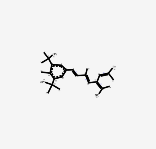 CCCC(C)(C)c1cc(/C=C/C(C)=C/C(/C=C(\C)CC)=C(/C)C#N)cc(C(C)(C)CCC)c1C